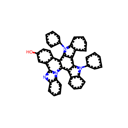 Oc1ccc2c(c1)c1nc3ccccc3n1c1c2c2c(c3ccccc3n2-c2ccccc2)c2c1c1ccccc1n2-c1ccccc1